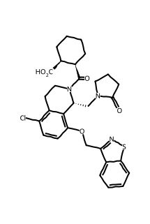 O=C(O)[C@H]1CCCC[C@H]1C(=O)N1CCc2c(Cl)ccc(OCc3nsc4ccccc34)c2[C@H]1CN1CCCC1=O